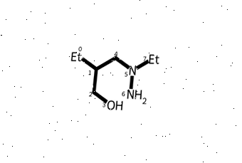 CCC(CO)CN(N)CC